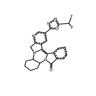 O=C1c2ccccc2C2=C3c4cc(-c5nnc(C(F)F)o5)cnc4CN3C3CCCCC3N12